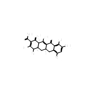 NC(=O)C1=C(O)C(N)[C@@H]2C[C@@H]3Cc4c(N)cc(N)c(O)c4C(=O)C3=C(O)[C@]2(O)C1=O